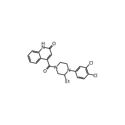 CCC1CN(C(=O)c2cc(=O)[nH]c3ccccc23)CCN1c1ccc(Cl)c(Cl)c1